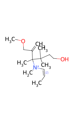 C=C(COC)C(C)([N+](=C)/C=C\C)C(C)(C)CCO